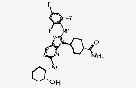 NC(=O)[C@H]1CC[C@@H](n2c(Nc3c(F)cc(F)cc3F)nc3cnc(N[C@H]4CCCC[C@H]4O)nc32)CC1